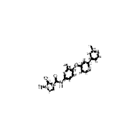 CCN1CCN(C(=O)Nc2ccc(Oc3ccnc(-c4ccnc(C)c4)c3)c(C)n2)C1=O